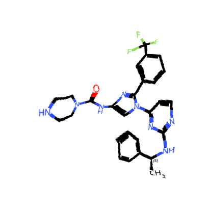 C[C@H](Nc1nccc(-n2cc(NC(=O)N3CCNCC3)nc2-c2cccc(C(F)(F)F)c2)n1)c1ccccc1